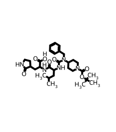 CC(C)CC(NC(=O)N(Cc1ccccc1)C1CCN(C(=O)OC(C)(C)C)CC1)C(=O)NC(CC1CCNC1=O)C(=O)O